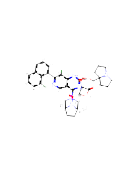 CC(C)[C@@H]1C(=O)O[C@@H]1C(=O)N1[C@@H]2CC[C@H]1CN(c1nc(OCC34CCCN3CCC4)nc3c(F)c(-c4cccc5cccc(Cl)c45)ncc13)C2